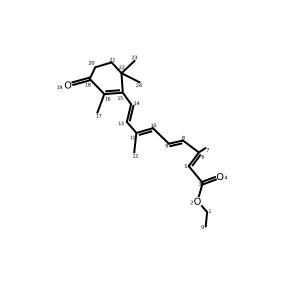 CCOC(=O)C=C(C)C=CC=C(C)C=CC1=C(C)C(=O)CCC1(C)C